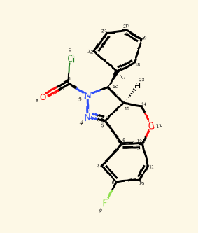 O=C(Cl)N1N=C2c3cc(F)ccc3OC[C@@H]2[C@@H]1c1ccccc1